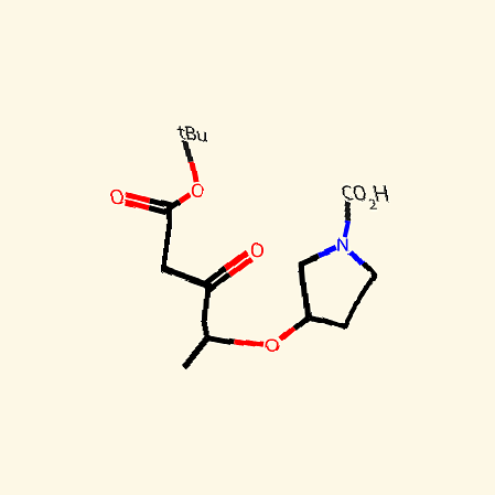 CC(OC1CCN(C(=O)O)C1)C(=O)CC(=O)OC(C)(C)C